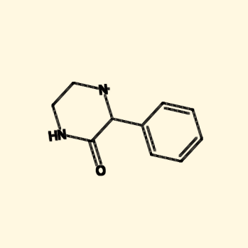 O=C1NCC[N]C1c1ccccc1